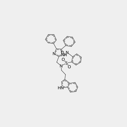 O=[N+]([O-])c1ccccc1S(=O)(=O)N(CCc1c[nH]c2ccccc12)Cc1nc(-c2ccccc2)c(-c2ccccc2)[nH]1